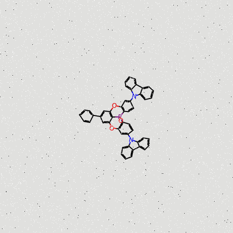 O=P12c3ccc(-n4c5ccccc5c5ccccc54)cc3Oc3cc(-c4ccccc4)cc(c31)Oc1cc(-n3c4ccccc4c4ccccc43)ccc12